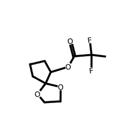 CC(F)(F)C(=O)OC1CCCC12OCCO2